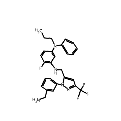 CCCN(c1ccccc1)c1ccc(F)c(NCc2cc(C(F)(F)F)nn2-c2cccc(CN)c2)c1